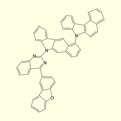 c1cc(-n2c3ccccc3c3c4ccccc4ccc32)c2cc3c4ccccc4n(-c4nc(-c5ccc6oc7ccccc7c6c5)c5ccccc5n4)c3cc2c1